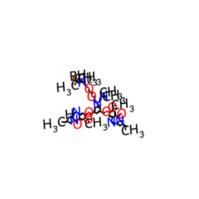 BSC(C)(C)CN(C)CCOCCOCCN(CCN(C)C)c1cc(COc2cc3c(cc2OC)C(=O)N2C/C(=C/C)CC2C=N3)cc(COc2cc3c(cc2OC)C(=O)N2C/C(=C/C)C[C@H]2C=N3)c1